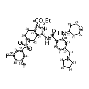 CCOC(=O)n1nc(NC(=O)c2ccc(CN3CCCC3)cc2NC2CCOCC2)c2c1CCN(S(=O)(=O)c1cc(F)cc(F)c1)C2